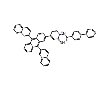 N=C1C=C(c2ccc3c(-c4ccc5ccccc5c4)c4ccccc4c(-c4ccc5ccccc5c4)c3c2)C=C/C1=N/Nc1ccc(-c2ccncc2)cc1